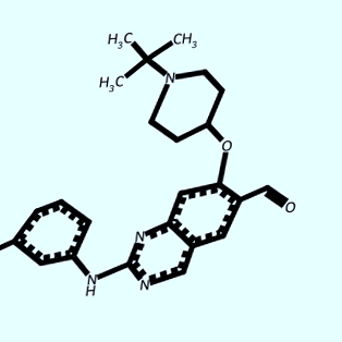 CC(C)(C)N1CCC(Oc2cc3nc(Nc4cccc(F)c4)ncc3cc2C=O)CC1